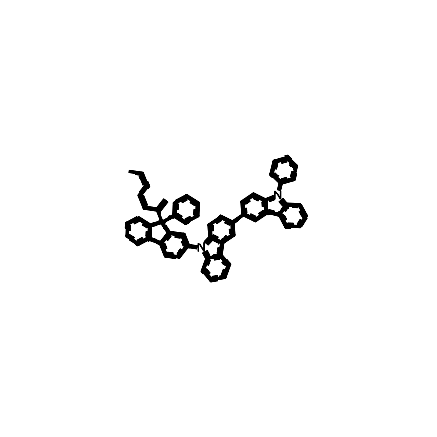 C=C(/C=C\C=C/C)C1(c2ccccc2)c2ccccc2-c2ccc(-n3c4ccccc4c4cc(-c5ccc6c(c5)c5ccccc5n6-c5ccccc5)ccc43)cc21